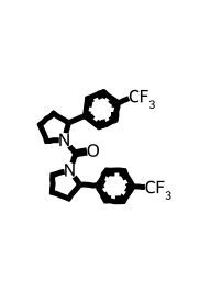 O=C(N1CCCC1c1ccc(C(F)(F)F)cc1)N1CCCC1c1ccc(C(F)(F)F)cc1